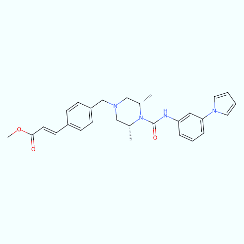 COC(=O)C=Cc1ccc(CN2C[C@@H](C)N(C(=O)Nc3cccc(-n4cccc4)c3)[C@@H](C)C2)cc1